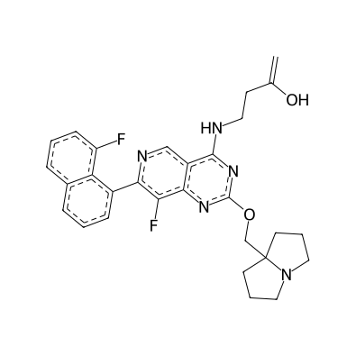 C=C(O)CCNc1nc(OCC23CCCN2CCC3)nc2c(F)c(-c3cccc4cccc(F)c34)ncc12